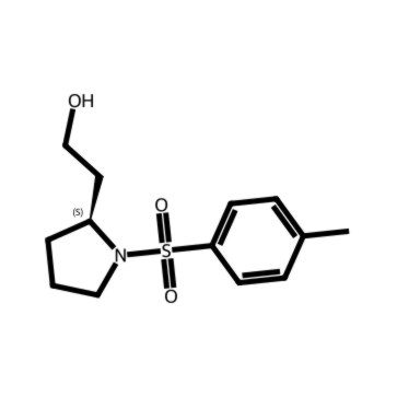 Cc1ccc(S(=O)(=O)N2CCC[C@H]2CCO)cc1